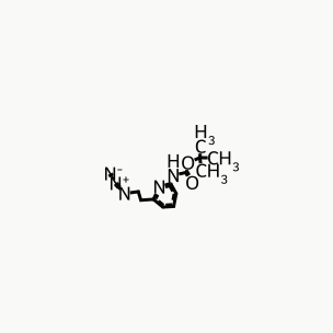 CC(C)(C)OC(=O)Nc1cccc(CCN=[N+]=[N-])n1